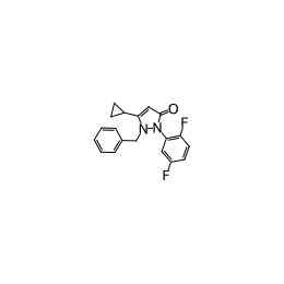 O=c1cc(C2CC2)n(Cc2ccccc2)n1-c1cc(F)ccc1F